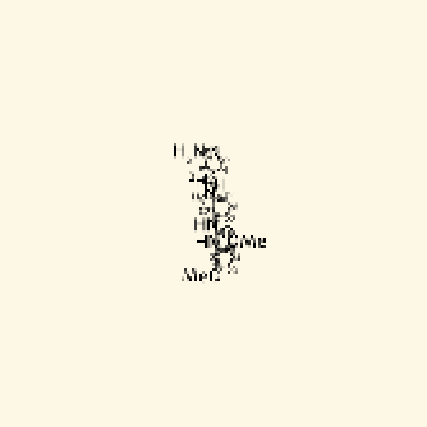 [2H]C([2H])(c1ccnc(N)c1)n1ccc2c(NC(=O)Nc3cc(OC)ccc3OC)cccc21